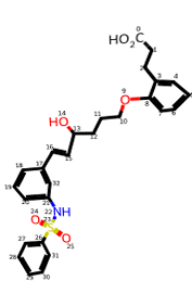 O=C(O)CCc1ccccc1OCCCC(O)/C=C/c1cccc(NS(=O)(=O)c2ccccc2)c1